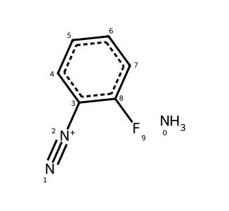 N.N#[N+]c1ccccc1F